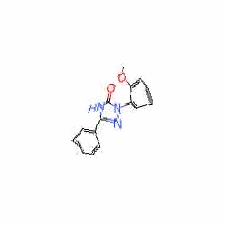 COc1ccccc1-n1nc(-c2ccccc2)[nH]c1=O